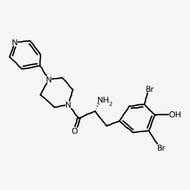 N[C@H](Cc1cc(Br)c(O)c(Br)c1)C(=O)N1CCN(c2ccncc2)CC1